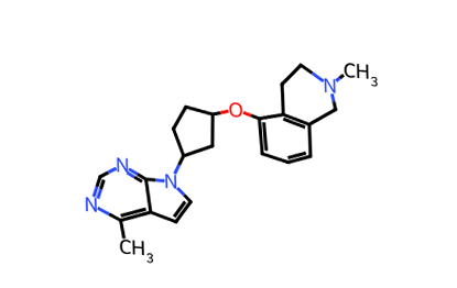 Cc1ncnc2c1ccn2C1CCC(Oc2cccc3c2CCN(C)C3)C1